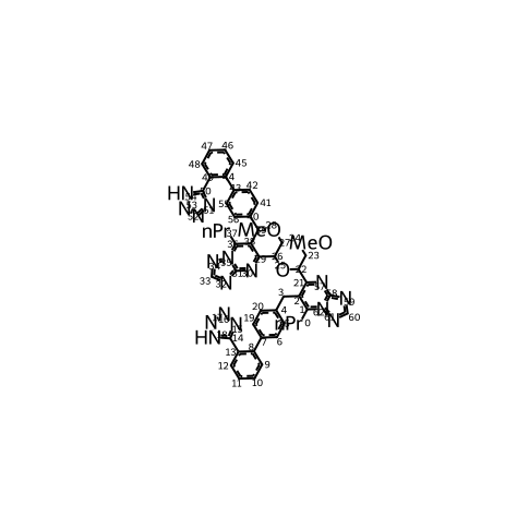 CCCc1c(Cc2ccc(-c3ccccc3-c3nnn[nH]3)cc2)c(C(COC)OC(COC)c2nc3ncnn3c(CCC)c2Cc2ccc(-c3ccccc3-c3nnn[nH]3)cc2)nc2ncnn12